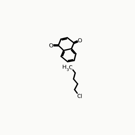 CCCCCCl.O=C1C=CC(=O)c2ccccc21